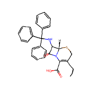 CCC1=C(C(=O)O)N2C(=O)C(NC(c3ccccc3)(c3ccccc3)c3ccccc3)[C@@H]2SC1